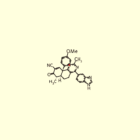 COc1ccc([C@]23C=C(C#N)C(=O)[C@@H](C)[C@@H]2CCc2c(-c4ccc5[nH]cnc5c4)nc(C)nc23)cc1